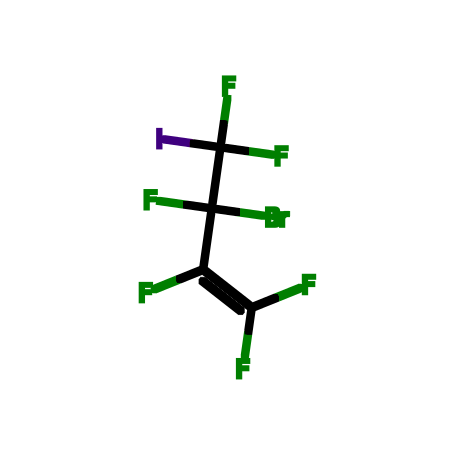 FC(F)=C(F)C(F)(Br)C(F)(F)I